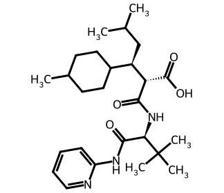 CC(C)C[C@H](C1CCC(C)CC1)[C@H](C(=O)O)C(=O)N[C@H](C(=O)Nc1ccccn1)C(C)(C)C